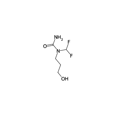 NC(=O)N(CCCO)C(F)F